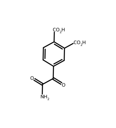 NC(=O)C(=O)c1ccc(C(=O)O)c(C(=O)O)c1